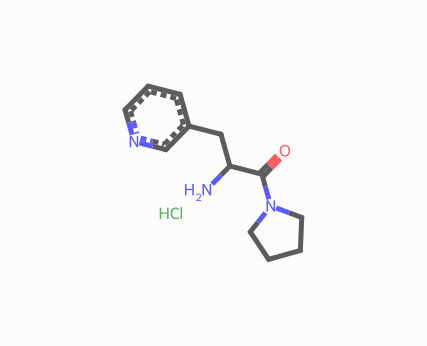 Cl.NC(Cc1cccnc1)C(=O)N1CCCC1